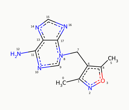 Cc1noc(C)c1Cn1cnc(N)c2ncnc1-2